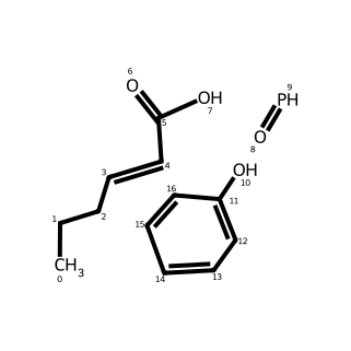 CCCC=CC(=O)O.O=P.Oc1ccccc1